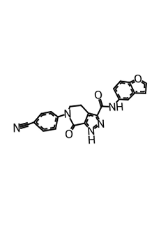 N#Cc1ccc(N2CCc3c(C(=O)Nc4ccc5occc5c4)n[nH]c3C2=O)cc1